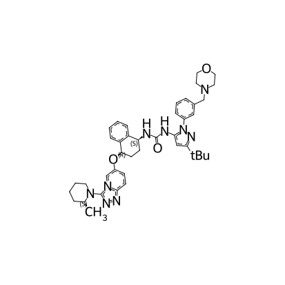 C[C@H]1CCCCN1c1nnc2ccc(O[C@@H]3CC[C@H](NC(=O)Nc4cc(C(C)(C)C)nn4-c4cccc(CN5CCOCC5)c4)c4ccccc43)cn12